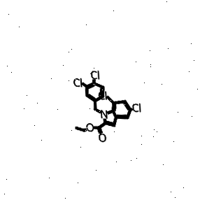 CCOC(=O)c1cc2cc(Cl)cc(Cl)c2n1Cc1ccc(Cl)c(Cl)c1